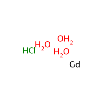 Cl.O.O.O.[Gd]